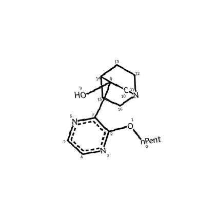 CCCCCOc1nccnc1C1(O)CN2CCC1CC2